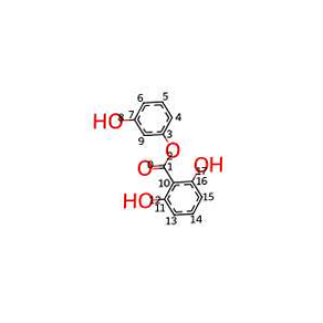 O=C(Oc1cccc(O)c1)c1c(O)cccc1O